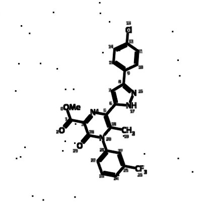 COC(=O)c1nc(-c2cc(-c3ccc(Cl)cc3)n[nH]2)c(C)n(-c2cccc(C(F)(F)F)c2)c1=O